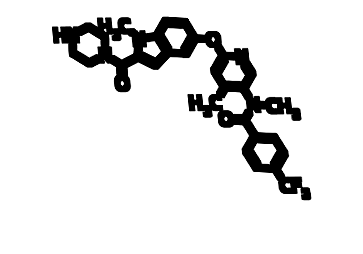 Cc1cc(Oc2ccc3c(c2)cc(C(=O)N2CCNCC2)n3C)ncc1N(C)C(=O)c1ccc(C(F)(F)F)cc1